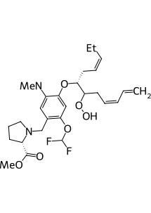 C=C/C=C\CC(OO)[C@@H](C/C=C\CC)Oc1cc(OC(F)F)c(CN2CCC[C@H]2C(=O)OC)cc1NC